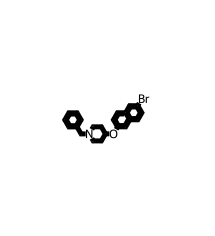 Brc1ccc2cc(OC3CCN(Cc4ccccc4)CC3)ccc2c1